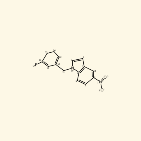 O=[N+]([O-])c1ccc2c(ccn2CC2=CCCC(F)=C2)c1